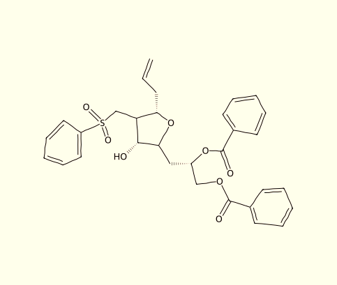 C=CC[C@@H]1OC(C[C@@H](COC(=O)c2ccccc2)OC(=O)c2ccccc2)[C@H](O)C1CS(=O)(=O)c1ccccc1